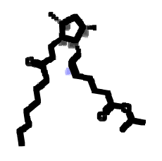 CCCCCCCC(=O)CC[C@@H]1[C@@H](C/C=C\CCCC(=O)OC(C)C)[C@@H](C)C[C@H]1C